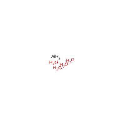 O.O.O.O.[AlH3]